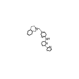 c1cc(Nc2ccc(CN3CCc4ccccc4C3)cn2)nc(-c2nccs2)c1